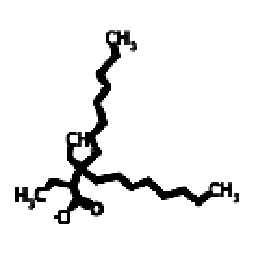 CCCCCCCCC(CC)(CCCCCCCC)C(CC)C([O])=O